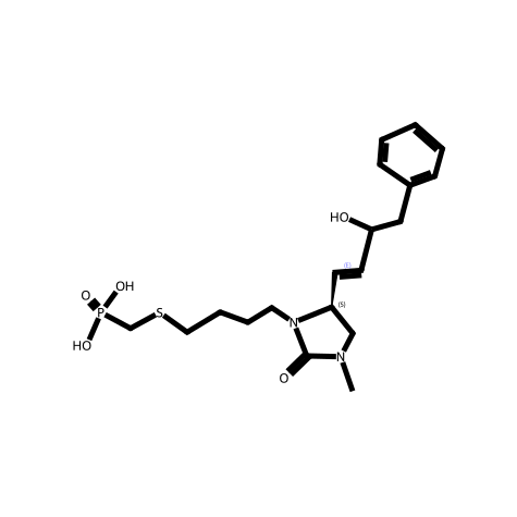 CN1C[C@H](/C=C/C(O)Cc2ccccc2)N(CCCCSCP(=O)(O)O)C1=O